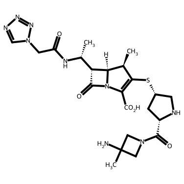 C[C@@H](NC(=O)Cn1cnnn1)[C@H]1C(=O)N2C(C(=O)O)=C(S[C@@H]3CN[C@H](C(=O)N4CC(C)(N)C4)C3)[C@H](C)[C@H]12